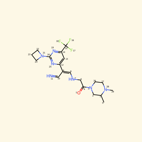 CC1CN(C(=O)CN/C=C(\C=N)c2cc(C(F)(F)F)nc(N3CCC3)n2)CCN1C